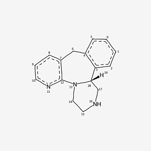 c1ccc2c(c1)Cc1cccnc1N1CCNC[C@@H]21